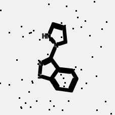 C1=CNN(c2nsc3ccccc23)C1